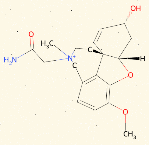 COc1ccc2c3c1O[C@H]1C[C@@H](O)C=C[C@@]31CC[N+](C)(CC(N)=O)C2